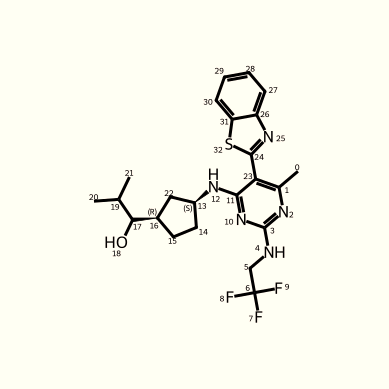 Cc1nc(NCC(F)(F)F)nc(N[C@H]2CC[C@@H](C(O)C(C)C)C2)c1-c1nc2ccccc2s1